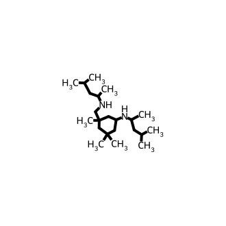 CC(C)CC(C)NCC1(C)CC(NC(C)CC(C)C)CC(C)(C)C1